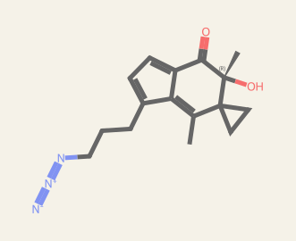 CC1=C2C(CCCN=[N+]=[N-])=CC=C2C(=O)[C@](C)(O)C12CC2